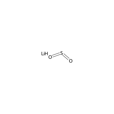 O=S=O.[LiH]